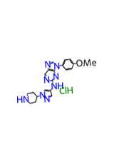 COc1ccc(-n2cnc3cnc(Nc4cnn(C5CCNCC5)c4)nc32)cc1.Cl